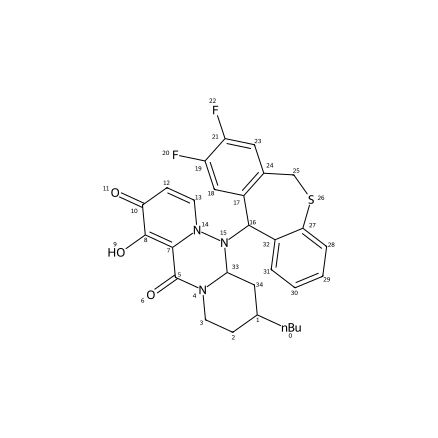 CCCCC1CCN2C(=O)c3c(O)c(=O)ccn3N(C3c4cc(F)c(F)cc4CSc4ccccc43)C2C1